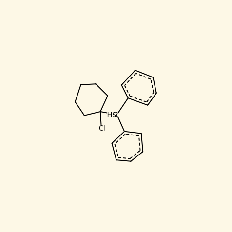 ClC1([SiH](c2ccccc2)c2ccccc2)CCCCC1